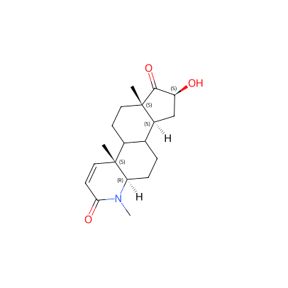 CN1C(=O)C=C[C@]2(C)C3CC[C@]4(C)C(=O)[C@@H](O)C[C@H]4C3CC[C@@H]12